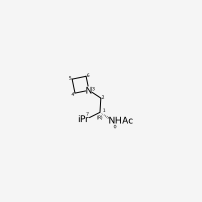 CC(=O)N[C@@H](CN1CCC1)C(C)C